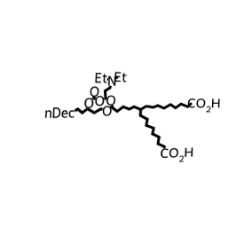 CCCCCCCCCCCCC(CCOC(=O)CCCCC(CCCCCCCCC(=O)O)CCCCCCCCC(=O)O)OC(=O)OCCCN(CC)CC